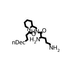 CCCCCCCCCCCCC(=O)N1CCCCC1CNC(=O)C(N)CCCN